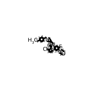 CCc1ccc(CN2CC3C(C2)C3CN(C(=O)c2sccc2Cl)c2ccc(N3CCOCC3)c(F)c2)cc1